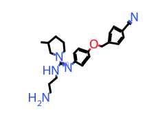 CC1CCCN(/C(=N\c2ccc(OCc3ccc(C#N)cc3)cc2)NCCCN)C1